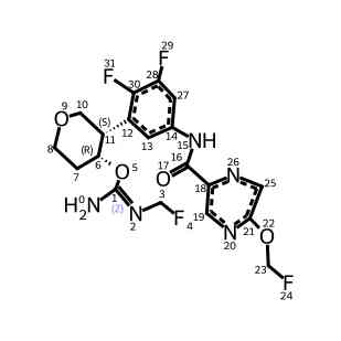 N/C(=N/CF)O[C@@H]1CCOC[C@@H]1c1cc(NC(=O)c2cnc(OCF)cn2)cc(F)c1F